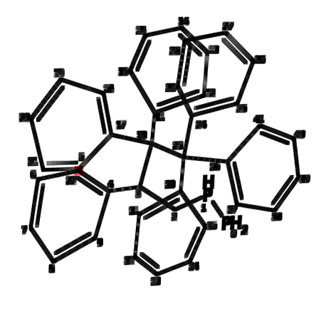 PPCC(c1ccccc1)C(c1ccccc1)(c1ccccc1)C(c1ccccc1)(c1ccccc1)c1ccccc1